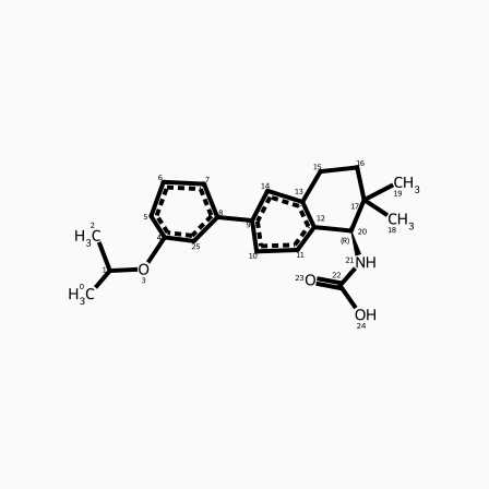 CC(C)Oc1cccc(-c2ccc3c(c2)CCC(C)(C)[C@H]3NC(=O)O)c1